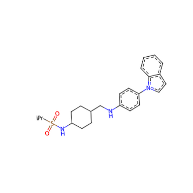 CC(C)S(=O)(=O)NC1CCC(CNc2ccc(-n3ccc4ccccc43)cc2)CC1